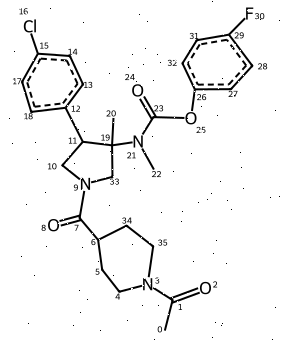 CC(=O)N1CCC(C(=O)N2CC(c3ccc(Cl)cc3)C(C)(N(C)C(=O)Oc3ccc(F)cc3)C2)CC1